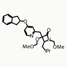 COCOC1(Cc2cc(OC3Cc4ccccc4C3)ccn2)C(=O)N(COC)C1CC(C)C